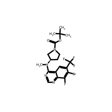 CN(c1ncnc2c(F)c(Br)c(C(F)(F)F)cc12)[C@@H]1CCN(C(=O)OC(C)(C)C)C1